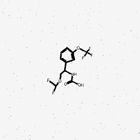 O=C(O)NC(COC(F)F)c1cccc(OC(F)(F)F)c1